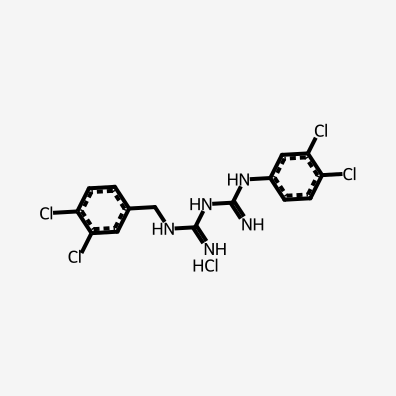 Cl.N=C(NCc1ccc(Cl)c(Cl)c1)NC(=N)Nc1ccc(Cl)c(Cl)c1